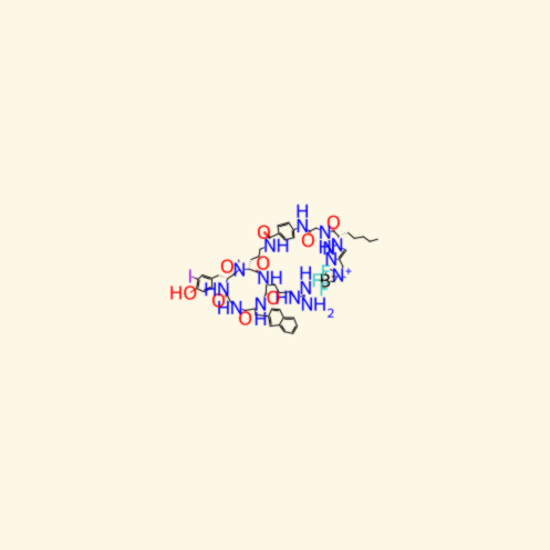 CCCCC[C@@H](C(=O)NCC(=O)Nc1ccc(C(=O)NCCC[C@@H]2C(=O)N[C@@H](CCCNC(=N)N)C(=O)N[C@@H](Cc3ccc4ccccc4c3)C(=O)NCC(=O)N[C@H](Cc3ccc(O)c(I)c3)C(=O)N2C)cc1)n1cc(C[N+](C)(C)C[B-](F)(F)F)nn1